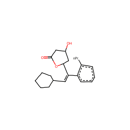 CCCc1ccccc1C(=CC1CCCCC1)C1CC(O)CC(=O)O1